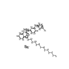 CCCCCCCCCCCCCCOc1ccccc1CC(=O)Nc1cccc(C[n+]2csc(C)c2)c1.[Br-]